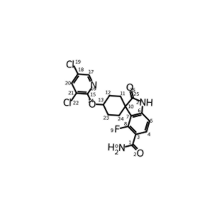 NC(=O)c1ccc2c(c1F)C1(CCC(Oc3ncc(Cl)cc3Cl)CC1)C(=O)N2